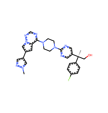 Cn1cc(-c2cc3c(N4CCN(c5ncc([C@@](C)(CO)c6ccc(F)cc6)cn5)CC4)ncnn3c2)cn1